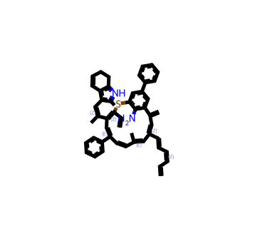 C=C/C=C\C=CC1=C/C(=C)c2cc(-c3ccccc3)cc(c2N)S/C(C=C)=C(\C(C)=C/c2c(C)[nH]c3c2C=CCC3)/C=C(/c2ccccc2)C=C\C(C)=C\1